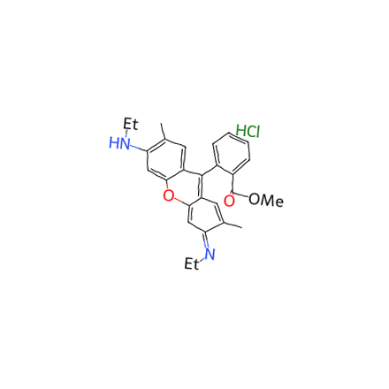 CCN=c1cc2oc3cc(NCC)c(C)cc3c(-c3ccccc3C(=O)OC)c-2cc1C.Cl